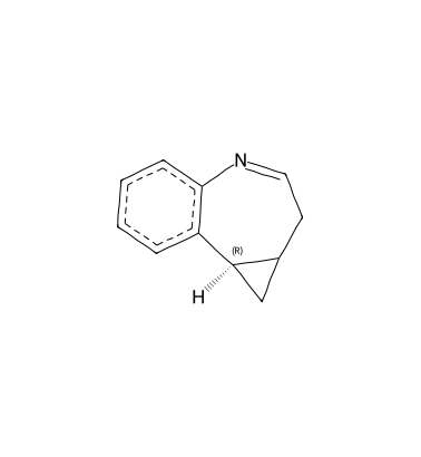 C1=Nc2ccccc2[C@@H]2CC2C1